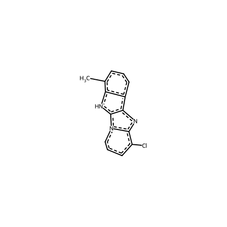 Cc1cccc2c1[nH]c1c2nc2c(Cl)cccn21